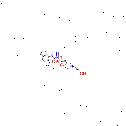 O=C(Nc1c2c(cc3c1CCC3)CCC2)NS(=O)(=O)c1cc2c(o1)CCN(CCCO)C2